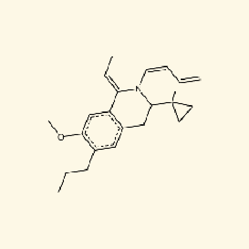 C=C/C=C\N1/C(=C\C)c2cc(OC)c(CCC)cc2CC1C1(C)CC1